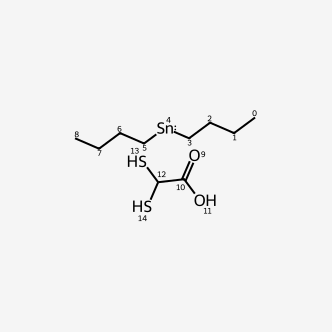 CCC[CH2][Sn][CH2]CCC.O=C(O)C(S)S